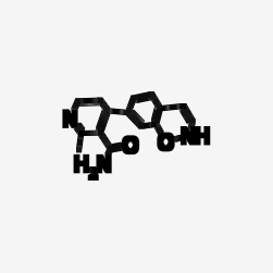 Cc1nccc(-c2ccc3c(c2)ONC=C3)c1C(N)=O